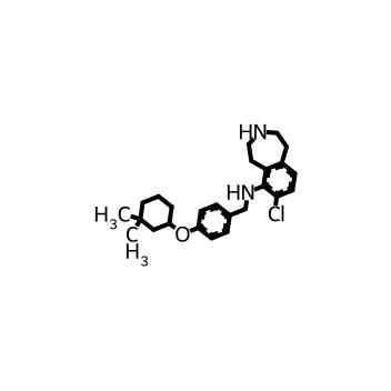 CC1(C)CCCC(Oc2ccc(CNc3c(Cl)ccc4c3CCNCC4)cc2)C1